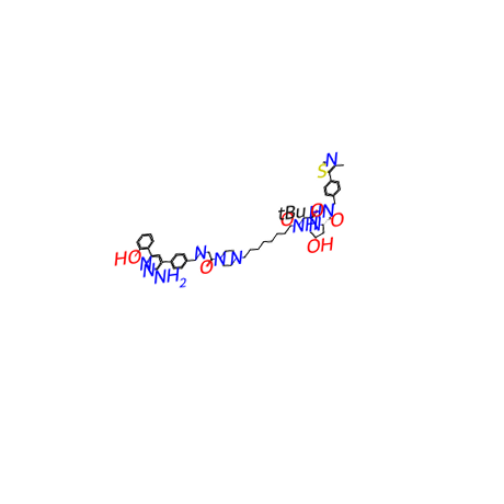 Cc1ncsc1-c1ccc(CNC(=O)[C@@H]2C[C@@H](O)CN2C(=O)C(NC(=O)CCCCCCCN2CCN(C(=O)CN(C)Cc3ccc(-c4cc(-c5ccccc5O)nnc4N)cc3)CC2)C(C)(C)C)cc1